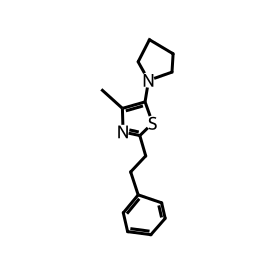 Cc1nc(CCc2ccccc2)sc1N1CCCC1